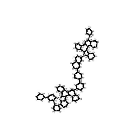 c1ccc(-c2ccc(-n3c4ccccc4c4c5c6ccccc6c(-c6cccc(-c7ccc(-c8ccc9ccc(-n%10c%11ccccc%11c%11c%12c%13ccccc%13c(-c%13ccccc%13)cc%12c%12ccccc%12c%11%10)cc9c8)cc7)c6)cc5c5ccccc5c43)c(-c3ccccc3)c2)cc1